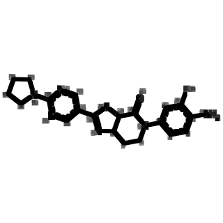 Nc1ccc(N2CCC3N=C(c4cnc(N5CCCC5)nc4)SC3C2=O)cc1F